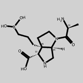 C[C@H](N)C(=O)N1CC[C@]2(CCCB(O)O)[C@@H](C(=O)O)NC[C@H]12